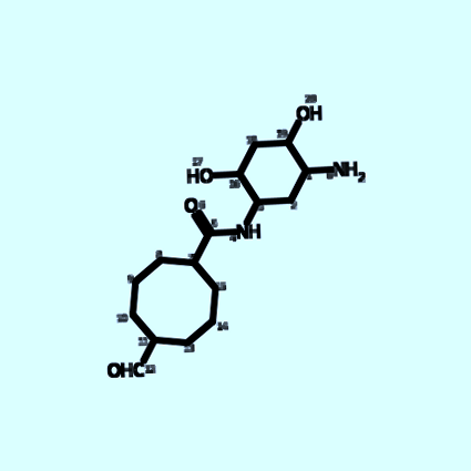 NC1CC(NC(=O)C2CCCC(C=O)CCC2)C(O)CC1O